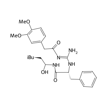 CC[C@H](C)CC(O)NC(=O)[C@@H](Cc1ccccc1)NC(N)=NC(=O)Cc1ccc(OC)c(OC)c1